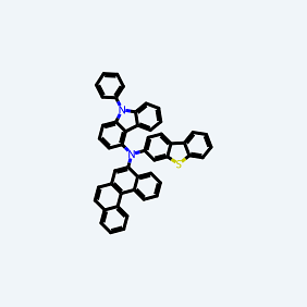 c1ccc(-n2c3ccccc3c3c(N(c4ccc5c(c4)sc4ccccc45)c4cc5ccc6ccccc6c5c5ccccc45)cccc32)cc1